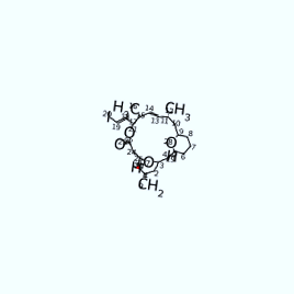 C=C1CC2C[C@@H]3CCCC(C[C@@H](C)/C=C/[C@H](C)[C@H](/C=C/I)OC(=O)C[C@H](C1)O2)O3